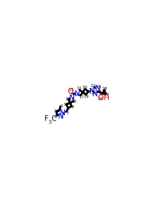 Cc1cc(C(F)(F)F)nn1CC1CC2(C1)CN(C(=O)N1CC3(CC(n4cnc(C5(O)CC5)n4)C3)C1)C2